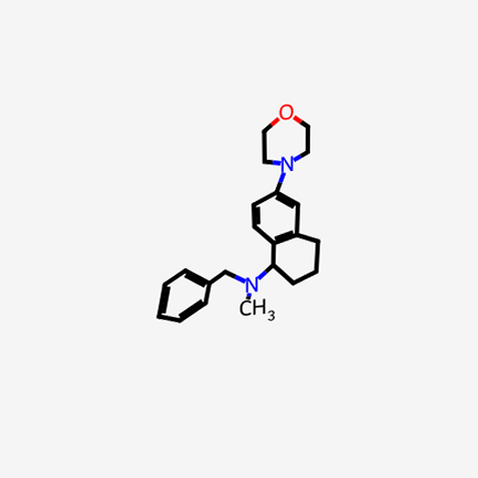 CN(Cc1ccccc1)C1CCCc2cc(N3CCOCC3)ccc21